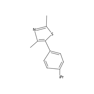 Cc1nc(C)c(-c2ccc(C(C)C)cc2)s1